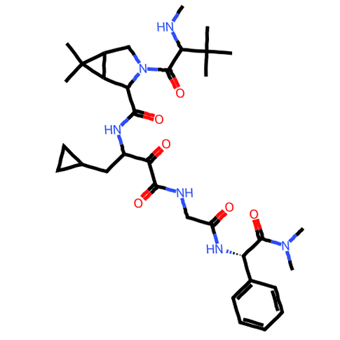 CNC(C(=O)N1CC2C(C1C(=O)NC(CC1CC1)C(=O)C(=O)NCC(=O)N[C@H](C(=O)N(C)C)c1ccccc1)C2(C)C)C(C)(C)C